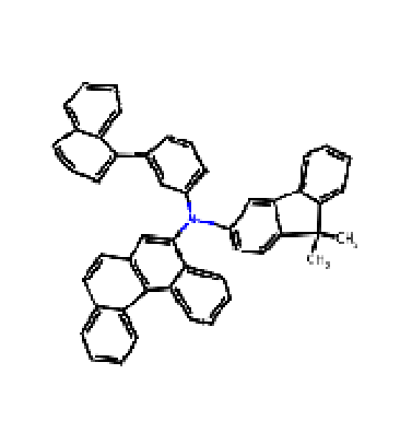 CC1(C)c2ccccc2-c2cc(N(c3cccc(-c4cccc5ccccc45)c3)c3cc4ccc5ccccc5c4c4ccccc34)ccc21